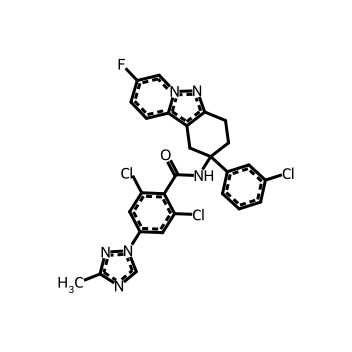 Cc1ncn(-c2cc(Cl)c(C(=O)NC3(c4cccc(Cl)c4)CCc4nn5cc(F)ccc5c4C3)c(Cl)c2)n1